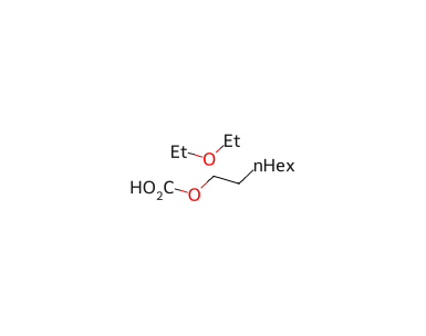 CCCCCCCCOC(=O)O.CCOCC